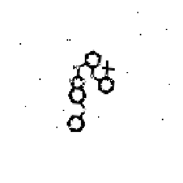 CC(C)(C)c1ccccc1Oc1ncccc1Nc1nc2ccc(Oc3ccccc3)cc2s1